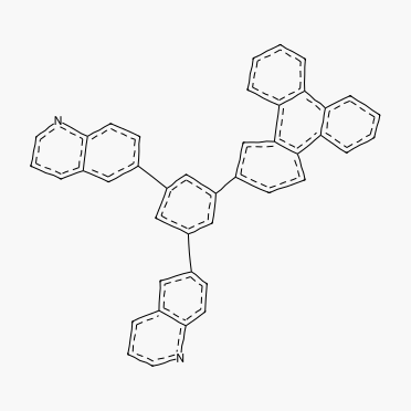 c1cnc2ccc(-c3cc(-c4ccc5ncccc5c4)cc(-c4ccc5c6ccccc6c6ccccc6c5c4)c3)cc2c1